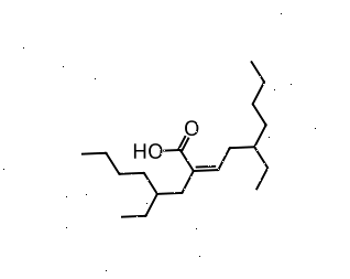 CCCCC(CC)CC=C(CC(CC)CCCC)C(=O)O